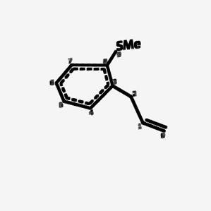 C=CCc1ccccc1SC